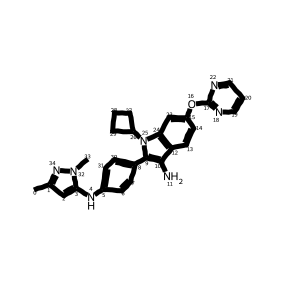 Cc1cc(Nc2ccc(-c3c(N)c4ccc(Oc5ncccn5)cc4n3C3CCC3)cc2)n(C)n1